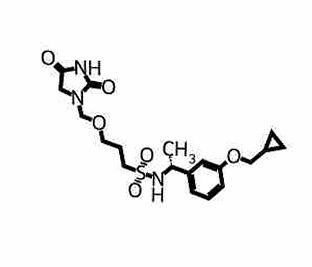 C[C@@H](NS(=O)(=O)CCCOCN1CC(=O)NC1=O)c1cccc(OCC2CC2)c1